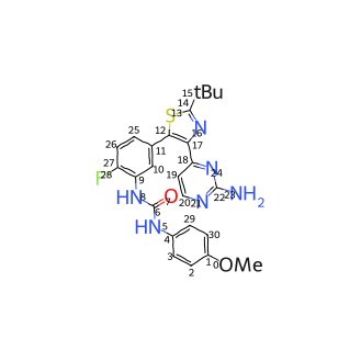 COc1ccc(NC(=O)Nc2cc(-c3sc(C(C)(C)C)nc3-c3ccnc(N)n3)ccc2F)cc1